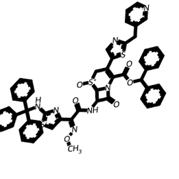 CON=C(C(=O)NC1C(=O)N2C(C(=O)OC(c3ccccc3)c3ccccc3)=C(c3cnc(Cc4cccnc4)s3)C[S+]([O-])C12)c1csc(NC(c2ccccc2)(c2ccccc2)c2ccccc2)n1